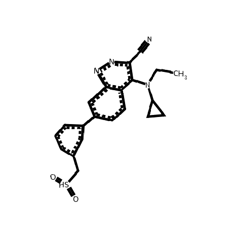 CCN(c1c(C#N)nnc2cc(-c3cccc(C[SH](=O)=O)c3)ccc12)C1CC1